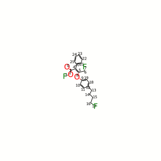 O=C(OF)C(=C(CF)Oc1ccc(CCCCF)cc1)c1ccccc1